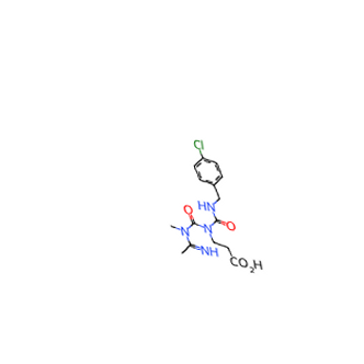 CC(=N)N(C)C(=O)N(CCC(=O)O)C(=O)NCc1ccc(Cl)cc1